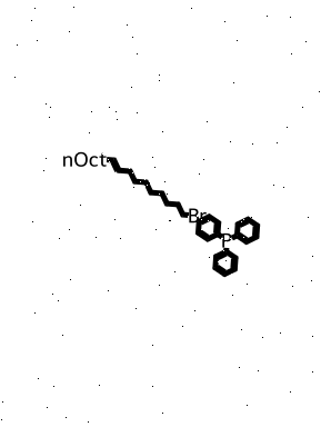 CCCCCCCCC=CCCCCCCCCBr.c1ccc(P(c2ccccc2)c2ccccc2)cc1